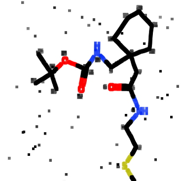 CSCCNC(=O)CC1(CNC(=O)OC(C)(C)C)CCCCC1